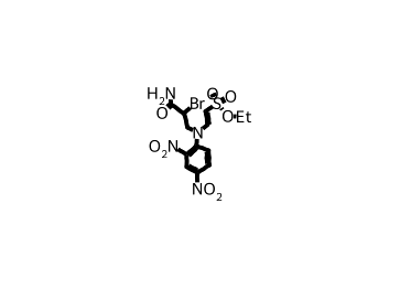 CCOS(=O)(=O)C=CN(CC(Br)C(N)=O)c1ccc([N+](=O)[O-])cc1[N+](=O)[O-]